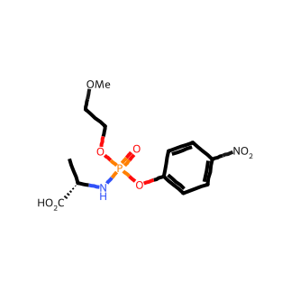 COCCOP(=O)(N[C@@H](C)C(=O)O)Oc1ccc([N+](=O)[O-])cc1